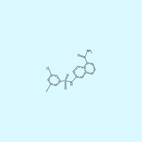 NC(=O)c1cccc2cc(NS(=O)(=O)c3cc(Cl)cc(I)c3)ccc12